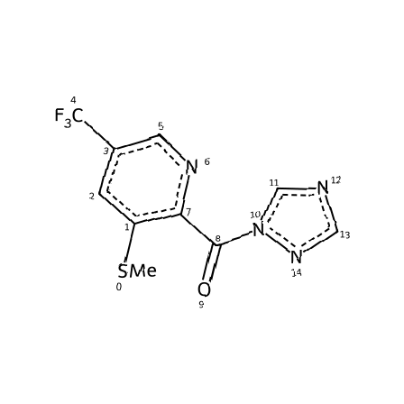 CSc1cc(C(F)(F)F)cnc1C(=O)n1cncn1